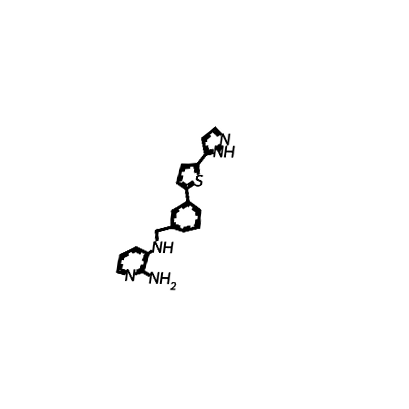 Nc1ncccc1NCc1cccc(-c2ccc(-c3ccn[nH]3)s2)c1